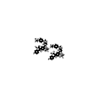 CNC(=O)c1c(-c2ccc(F)cc2)oc2cc(N(C)S(C)(=O)=O)c(-c3ncc4ncn(-c5ccc(OC(F)(F)F)cc5)c4n3)cc12.CNC(=O)c1c(-c2ccc(F)cc2)oc2cc(N(C)S(C)(=O)=O)c(-c3ncc4ncn(-c5ccc(OC(F)(F)F)cc5)c4n3)cc12